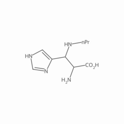 CCCNC(c1c[nH]cn1)C(N)C(=O)O